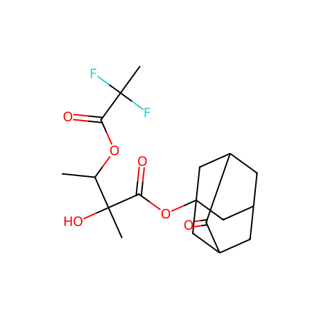 CC(OC(=O)C(C)(F)F)C(C)(O)C(=O)OC12CC3CC(C1)C(=O)C(C3)C2